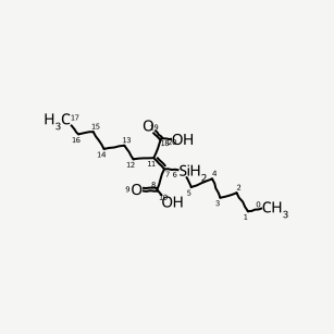 CCCCCC[SiH2]/C(C(=O)O)=C(/CCCCCC)C(=O)O